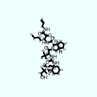 C=CCNC(=O)C(=O)[C@H](CCCC)NC(=O)[C@@H]1[C@H]2CCC[C@H]2CN1C(=O)[C@@H](NC(=O)NC1(CS(=O)(=O)C(C)(C)CO)CCCCC1)C(C)(C)C